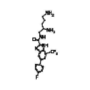 NCCCC(N)CNC(=O)c1nc2cc(-c3ccc(F)cc3)cc(C(F)(F)F)c2[nH]1